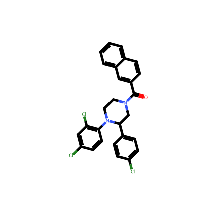 O=C(c1ccc2ccccc2c1)N1CCN(c2ccc(Cl)cc2Cl)C(c2ccc(Cl)cc2)C1